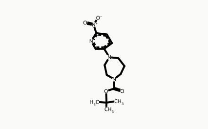 CC(C)(C)OC(=O)N1CCCN(c2ccc([N+](=O)[O-])nc2)CC1